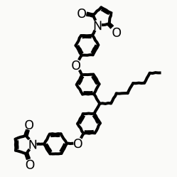 CCCCCCCC(c1ccc(Oc2ccc(N3C(=O)C=CC3=O)cc2)cc1)c1ccc(Oc2ccc(N3C(=O)C=CC3=O)cc2)cc1